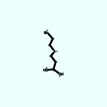 CCC(C)CCSCCC(O)O